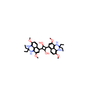 CCC1(CC)Nc2c(OC)ccc3c(C4C(O)C(c5cc(OC)c6c7c(c(OC)ccc57)NC(CC)(CC)N6)C4O)cc(OC)c(c23)N1